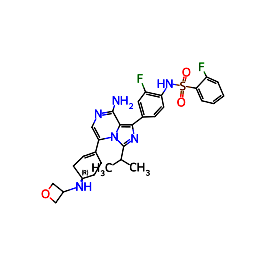 CC(C)c1nc(-c2ccc(NS(=O)(=O)c3ccccc3F)c(F)c2)c2c(N)ncc(C3=CC[C@H](NC4COC4)CC3)n12